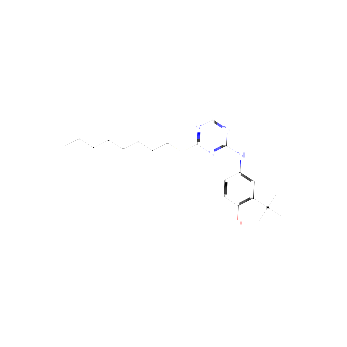 CCCCCCCCSc1ncnc(Nc2ccc(O)c(C(C)(C)C)c2)n1